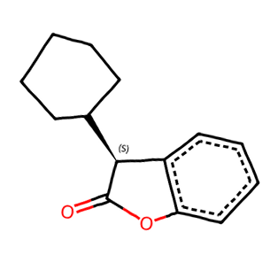 O=C1Oc2ccccc2[C@@H]1C1CCCCC1